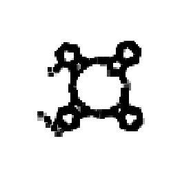 Clc1cccc2c3nc4nc(nc5[nH]c(nc6nc(nc([nH]3)c12)-c1ccccc1-6)c1ccccc51)-c1ccccc1-4.[Br][Zn][Br]